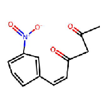 CC(=O)CC(=O)/C=C\c1cccc([N+](=O)[O-])c1